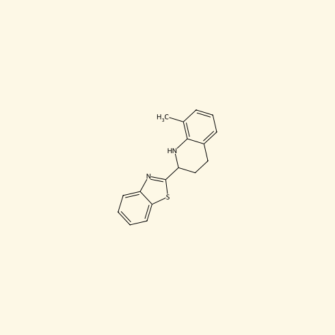 Cc1cccc2c1NC(c1nc3ccccc3s1)CC2